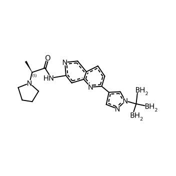 BC(B)(B)n1cc(-c2ccc3cnc(NC(=O)[C@H](C)N4CCCC4)cc3n2)cn1